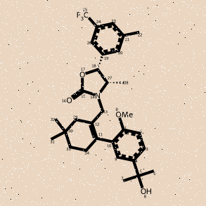 COc1ccc(C(C)(C)O)cc1C1=C(CN2C(=O)O[C@H](c3cc(C)cc(C(F)(F)F)c3)[C@@H]2C)CC(C)(C)CC1